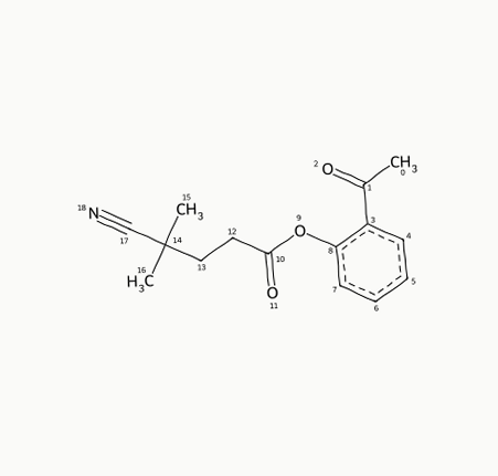 CC(=O)c1ccccc1OC(=O)CCC(C)(C)C#N